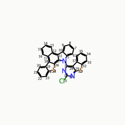 Clc1nc(-n2c3ccccc3c3c4ccccc4c4c5ccccc5sc4c32)c2c(n1)sc1ccccc12